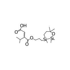 CC(C)C(=CC(=O)O)C(=O)OCCC[Si]1(C)CCC(C)(C)O[Si]1(C)C